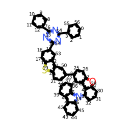 c1ccc(-c2nc(-c3ccccc3)nc(-c3ccc4sc5ccc(-c6ccc7oc8cccc(-n9c%10ccccc%10c%10ccccc%109)c8c7c6)cc5c4c3)n2)cc1